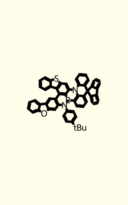 CC(C)(C)c1ccc(N2B3c4cccc5c4N(c4ccccc4C54c5ccccc5-c5ccccc54)c4cc5sc6ccccc6c5c(c43)-c3cc4c(cc32)oc2ccccc24)cc1